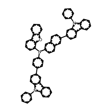 c1ccc(-n2c3ccccc3c3cc(-c4ccc(N(c5ccc6cc(-c7ccc8c9ccccc9n(-c9ccccc9)c8c7)ccc6c5)c5cccc6c5oc5ccccc56)cc4)ccc32)cc1